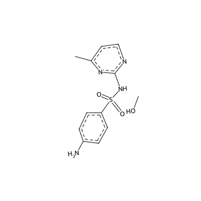 CO.Cc1ccnc(NS(=O)(=O)c2ccc(N)cc2)n1